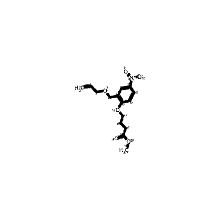 C=CCOCc1cc([N+](=O)[O-])ccc1OCCCC(=O)OC